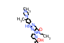 C=CCn1c(=O)c2cnc(Nc3ccc(N4CCN(C)CC4)c(C)c3)nc2n1-c1cccc(C2(O)CCC2)n1